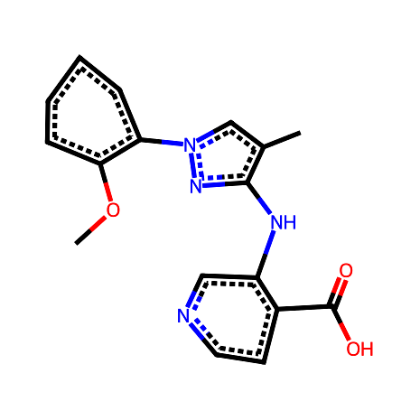 COc1ccccc1-n1cc(C)c(Nc2cnccc2C(=O)O)n1